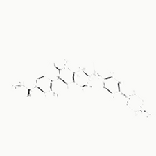 CCn1c(=O)c(-c2ccc(C(=O)NN)cc2Cl)cc2cnc(Nc3ccc(N4CCN(C(C)C)CC4)cc3)nc21